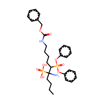 CCCCC(N)(C(CCCCNC(=O)OCc1ccccc1)P(=O)(Oc1ccccc1)Oc1ccccc1)P(=O)(O)O